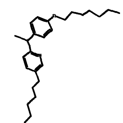 CCCCCCCOc1ccc(C(C)c2ccc(CCCCCC)cn2)cc1